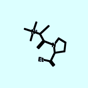 C=C(CC)C1CCCN1C(=C)C(C)[N+](C)(C)C